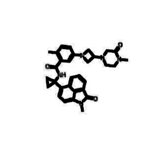 Cc1ccc(N2CC(N3CCN(C)C(=O)C3)C2)cc1C(=O)NC1(c2ccc3c4c(cccc24)C(=O)N3C)CC1